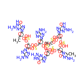 CC[C@H]1O[C@@H](n2cnc3c(=O)[nH]c(N)nc32)CC1OP(O)(=S)OC[C@H]1O[C@@H](n2cnc3c(N)ncnc32)CC1OP(O)(=S)OC[C@H]1O[C@@H](n2cnc3c(N)ncnc32)CC1OP(O)(=S)OC[C@H]1O[C@@H](n2cnc3c(=O)[nH]c(N)nc32)CC1OP(O)(=S)OC[C@H]1O[C@@H](n2cc(C)c(N)nc2=O)CC1OP(O)(=S)OC[C@H]1O[C@@H](n2cnc3c(=O)[nH]c(N)nc32)CC1OP(O)(=S)OC